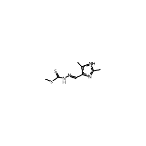 CSC(=S)NN=Cc1nc(C)[nH]c1C